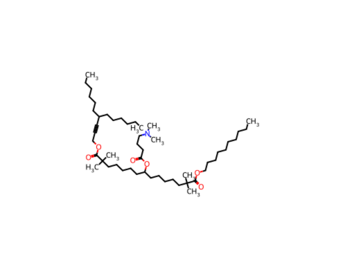 CCCCCCCCCCOC(=O)C(C)(C)CCCCCC(CCCCCC(C)(C)C(=O)OCC#CC(CCCCCC)CCCCCC)OC(=O)CCCN(C)C